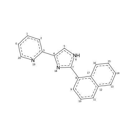 c1ccc(-c2c[nH]c(-c3cccc4ccccc34)n2)nc1